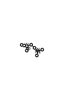 c1ccc(-c2nc(-c3ccccc3)nc(-c3ccc(-c4cccc(-c5nc6cc7ccccc7cc6c6c5oc5ccccc56)c4)cc3)n2)cc1